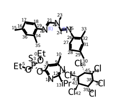 CCOP(=S)(OCC)Oc1cc(C)nc(C(C)C)n1.Cc1ccc(/N=C/N(C)/C=N/c2ccc(C)cc2C)c(C)c1.Cl[C@H]1[C@H](Cl)[C@@H](Cl)[C@@H](Cl)[C@H](Cl)[C@H]1Cl